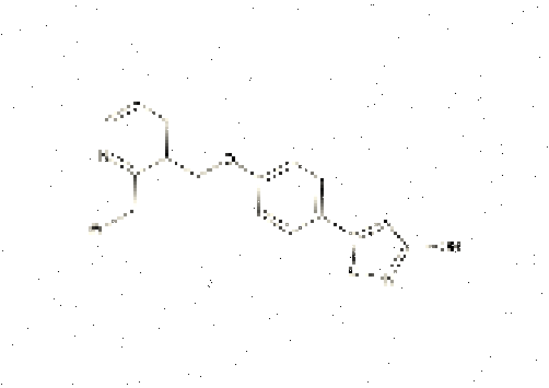 CC(C)Cc1ncccc1COc1ccc(-c2cc(O)no2)cc1